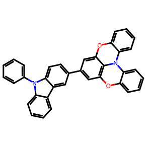 c1ccc(-n2c3ccccc3c3cc(-c4cc5c6c(c4)Oc4ccccc4N6c4ccccc4O5)ccc32)cc1